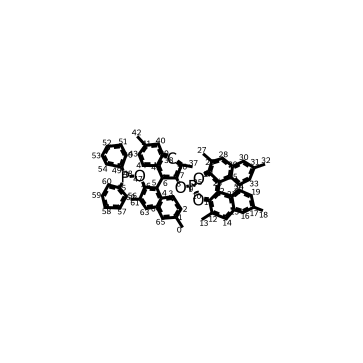 Cc1ccc2c(-c3c(Op4oc5c(C)cc6cc(C)ccc6c5c5c(o4)c(C)cc4cc(C)ccc45)c(C)cc4cc(C)ccc34)c(OP(c3ccccc3)c3ccccc3)c(C)cc2c1